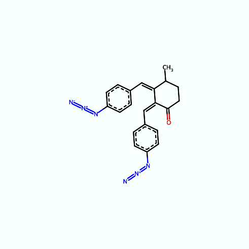 CC1CCC(=O)C(=Cc2ccc(N=[N+]=[N-])cc2)C1=Cc1ccc(N=[N+]=[N-])cc1